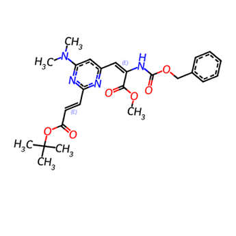 COC(=O)/C(=C\c1cc(N(C)C)nc(/C=C/C(=O)OC(C)(C)C)n1)NC(=O)OCc1ccccc1